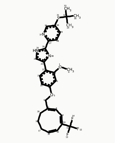 COc1cc(OC/C2=C/C=C(C(F)(F)F)\C=C/CCC2)ccc1-c1c[nH]c(-c2ccc(SC(C)(C)C)cn2)n1